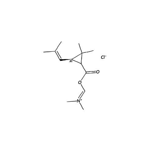 CC(C)=C[C@@H]1C(C(=O)OC=[N+](C)C)C1(C)C.[Cl-]